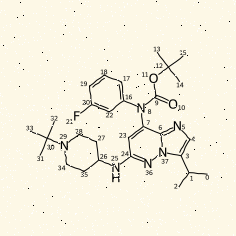 CC(C)c1cnc2c(N(C(=O)OC(C)(C)C)c3cccc(F)c3)cc(NC3CCN(C(C)(C)C)CC3)nn12